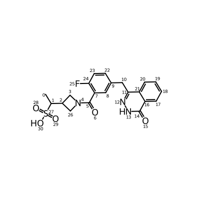 CC(C1CN(C(=O)c2cc(Cc3n[nH]c(=O)c4ccccc34)ccc2F)C1)S(=O)(=O)O